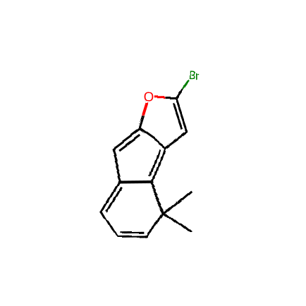 CC1(C)C=CC=C2C=c3oc(Br)cc3=C21